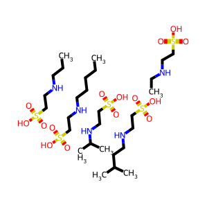 CC(C)CCNCCS(=O)(=O)O.CC(C)NCCS(=O)(=O)O.CCCCCNCCS(=O)(=O)O.CCCNCCS(=O)(=O)O.CCNCCS(=O)(=O)O